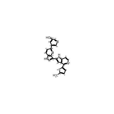 Cc1ccc(-c2nccc3[nH]c(-c4n[nH]c5ccc(-c6cncc(O)c6)nc45)cc23)s1